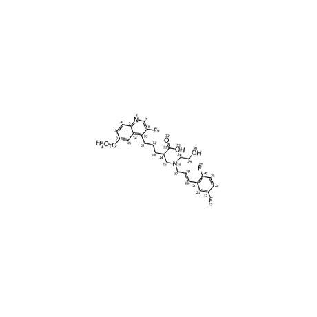 COc1ccc2ncc(F)c(CCCC(CN(CC=Cc3cc(F)ccc3F)CCO)C(=O)O)c2c1